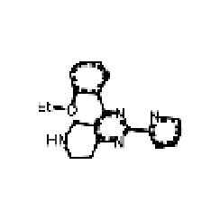 CCOc1ccccc1-c1nc(-c2ccccn2)nc2c1CNCC2